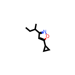 CCC(C)c1cc(C2CC2)on1